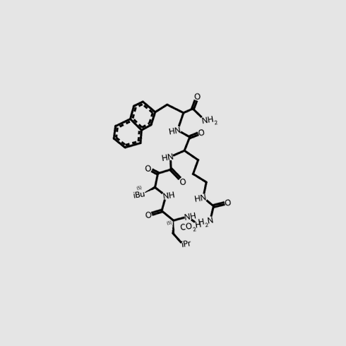 CC[C@H](C)C(NC(=O)[C@H](CC(C)C)NC(=O)O)C(=O)C(=O)NC(CCCNC(N)=O)C(=O)NC(Cc1ccc2ccccc2c1)C(N)=O